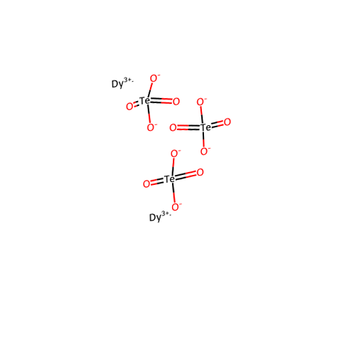 O=[Te](=O)([O-])[O-].O=[Te](=O)([O-])[O-].O=[Te](=O)([O-])[O-].[Dy+3].[Dy+3]